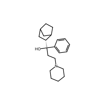 OC(CCN1CCCCC1)(c1ccccc1)[C@@H]1CC2CCC1C2